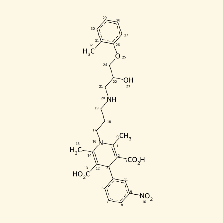 CC1=C(C(=O)O)C(c2cccc([N+](=O)[O-])c2)C(C(=O)O)=C(C)N1CCCNCC(O)COc1ccccc1C